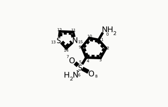 Nc1ccc(S(N)(=O)=O)cc1.c1cscn1